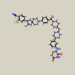 C[C@@H]1CC2(CCN(c3ccc(C(=O)N4CCC(CN5CCC(c6cccc(NC7CCC(=O)NC7=O)c6)CC5)CC4)cc3)CC2)CN1c1ccc(C#N)c(Cl)c1